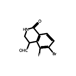 O=CC1CNC(=O)c2ccc(Br)c(F)c21